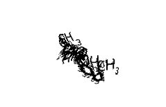 CCc1ccccc1-c1ccc(C[C@H](NC(=O)c2cc3cc(OC)ccc3o2)C(=O)O)cc1